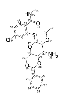 CCOC1C(Sc2cc(Cl)cnc2C(=O)NC)OC2COC(c3ccccc3)OC2C1N